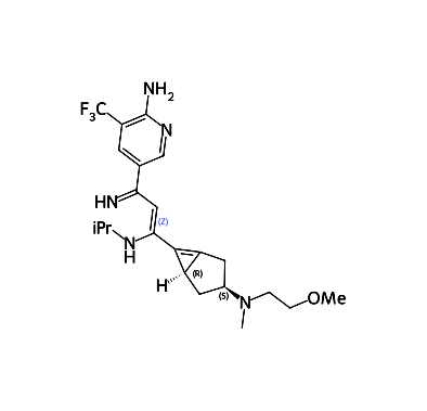 COCCN(C)[C@@H]1CC2=C(/C(=C/C(=N)c3cnc(N)c(C(F)(F)F)c3)NC(C)C)[C@@H]2C1